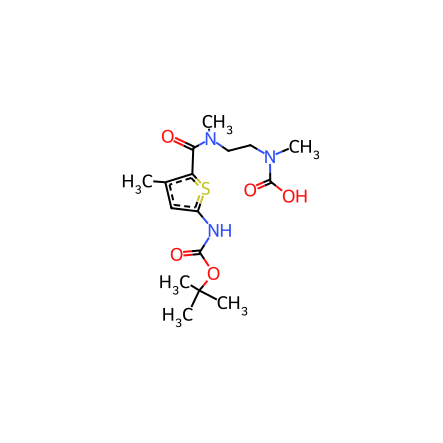 Cc1cc(NC(=O)OC(C)(C)C)sc1C(=O)N(C)CCN(C)C(=O)O